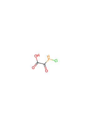 O=C(O)C(=O)PCl